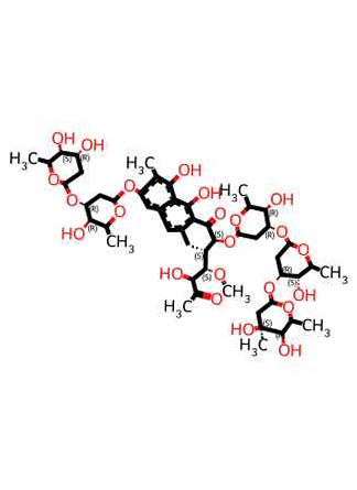 CO[C@H](C(O)C(C)=O)[C@@H]1Cc2cc3cc(OC4C[C@@H](OC5C[C@@H](O)[C@H](O)C(C)O5)[C@H](O)C(C)O4)c(C)c(O)c3c(O)c2C(=O)[C@H]1OC1C[C@@H](OC2C[C@@H](OC3C[C@](C)(O)[C@H](O)C(C)O3)[C@@H](O)C(C)O2)[C@H](O)C(C)O1